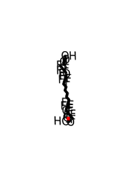 O=S(=O)(O)C(F)(F)C(F)(F)OC(F)(F)C(F)(F)CCCCCCC(F)(F)C(F)(F)OC(F)(F)C(F)(F)SOOO